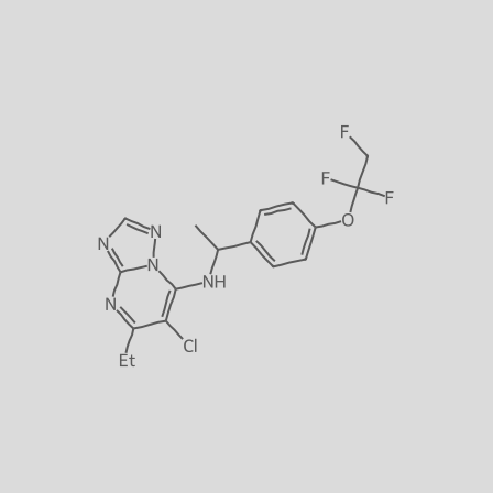 CCc1nc2ncnn2c(NC(C)c2ccc(OC(F)(F)CF)cc2)c1Cl